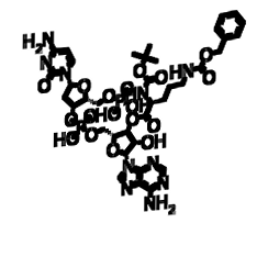 CC(C)(C)OC(=O)N[C@@H](CCCNC(=O)OCc1ccccc1)C(=O)O[C@H]1[C@@H](O)[C@H](n2cnc3c(N)ncnc32)O[C@@H]1COP(=O)(O)O[C@H]1C[C@H](n2ccc(N)nc2=O)O[C@@H]1COP(=O)(O)O